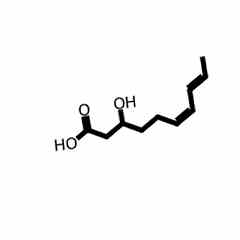 C/C=C/C=C\CCC(O)CC(=O)O